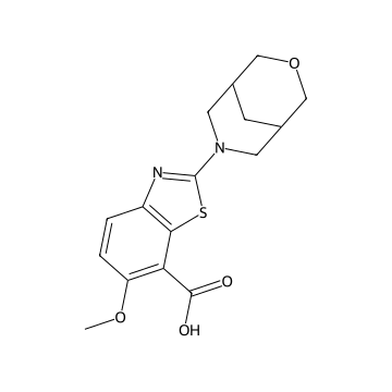 COc1ccc2nc(N3CC4COCC(C4)C3)sc2c1C(=O)O